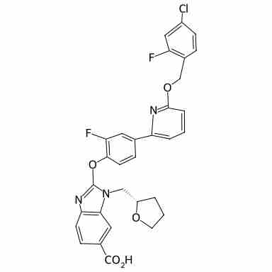 O=C(O)c1ccc2nc(Oc3ccc(-c4cccc(OCc5ccc(Cl)cc5F)n4)cc3F)n(C[C@@H]3CCCO3)c2c1